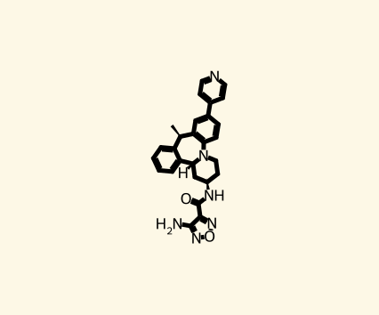 C[C@@H]1c2ccccc2[C@H]2C[C@H](NC(=O)c3nonc3N)CCN2c2ccc(-c3ccncc3)cc21